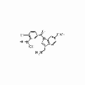 COc1ccc2c(CN)cn(C(=O)c3ccc(Cl)c(N(O)O)c3)c2c1